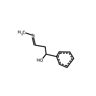 C/N=C/CC(O)c1ccccc1